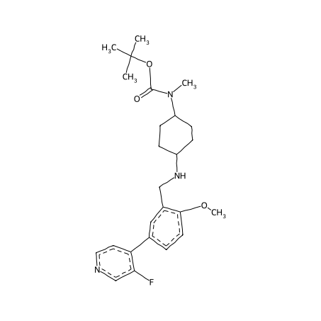 COc1ccc(-c2ccncc2F)cc1CNC1CCC(N(C)C(=O)OC(C)(C)C)CC1